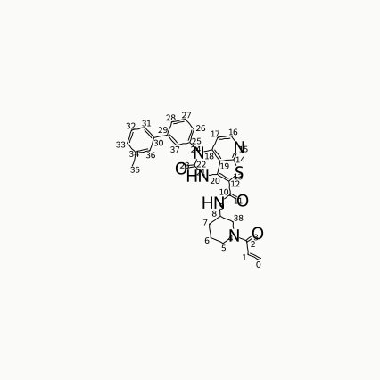 C=CC(=O)N1CCCC(NC(=O)c2sc3nccc4c3c2NC(=O)N4c2cccc(-c3cccc(C)c3)c2)C1